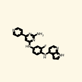 Nc1nc(Nc2ccc(Nc3ccnc4[nH]ccc34)c(F)c2)cc(-c2ccncc2)n1